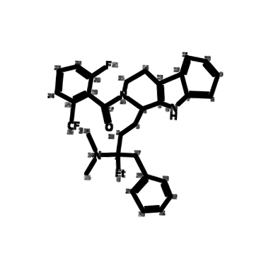 CCC(CCC1c2[nH]c3ccccc3c2CCN1C(=O)c1c(F)cccc1C(F)(F)F)(Cc1ccccc1)N(C)C